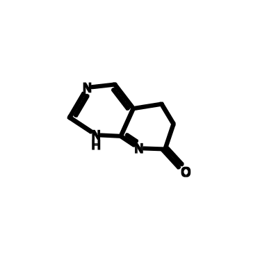 O=C1CCC2=CN=CNC2=N1